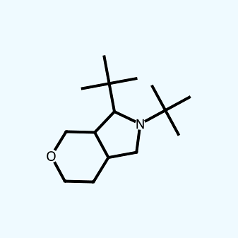 CC(C)(C)C1C2COCCC2CN1C(C)(C)C